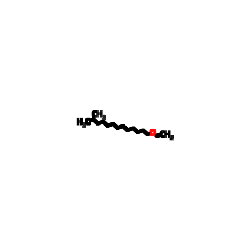 C=COCCCCCCCCCCCC(C)C